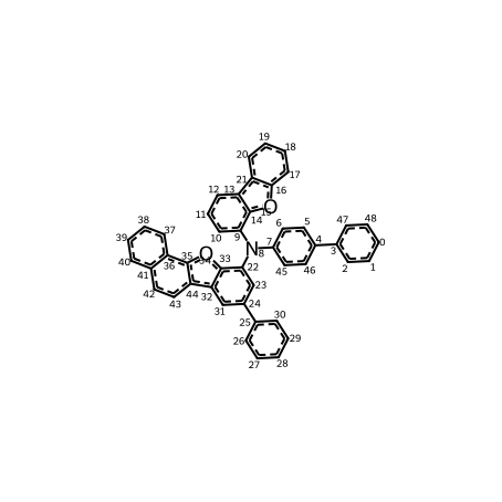 c1ccc(-c2ccc(N(c3cccc4c3oc3ccccc34)c3cc(-c4ccccc4)cc4c3oc3c5ccccc5ccc43)cc2)cc1